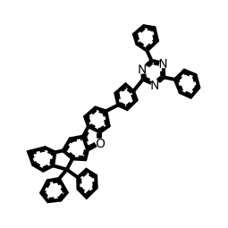 c1ccc(-c2nc(-c3ccccc3)nc(-c3ccc(-c4ccc5c(c4)oc4cc6c(cc45)-c4ccccc4C6(c4ccccc4)c4ccccc4)cc3)n2)cc1